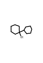 CCC1(C2CCCCC2)CCCCC1